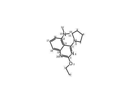 CCOc1nc(N2CCCC2)c2c(N(C)C)cccc2n1